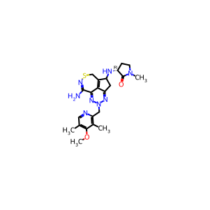 COc1c(C)cnc(CN2N=C3CC(N[C@@H]4CCN(C)C4=O)C4=C3C(=N2)C(N)=NSC4)c1C